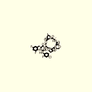 C[C@@H]1C[C@H]2C(=O)OC[C@H](NC(=O)[C@H](Cc3cc(F)cc(F)c3)NC(=O)Nc3ccc(Cl)cc3F)C(=O)N3CCC[C@H]3C(=O)N3CCOC[C@H]3C(=O)N[C@@H](C)C(=O)N2C1